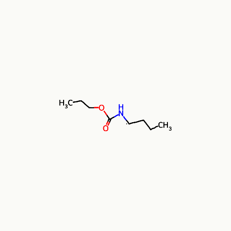 CCC[CH]NC(=O)OCCC